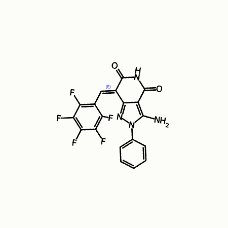 Nc1c2c(nn1-c1ccccc1)/C(=C\c1c(F)c(F)c(F)c(F)c1F)C(=O)NC2=O